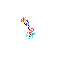 O=C(CCN1CCS(=O)(=O)CC1)OC(C(F)(F)F)C(F)(F)F